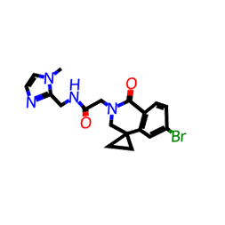 Cn1ccnc1CNC(=O)CN1CC2(CC2)c2cc(Br)ccc2C1=O